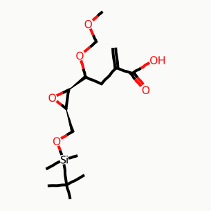 C=C(CC(OCOC)[C@@H]1O[C@@H]1CO[Si](C)(C)C(C)(C)C)C(=O)O